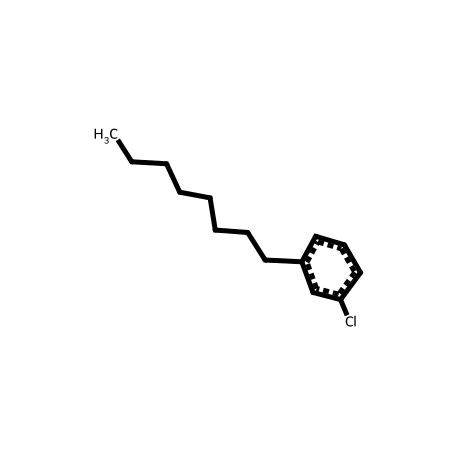 CCCCCCCCc1cccc(Cl)c1